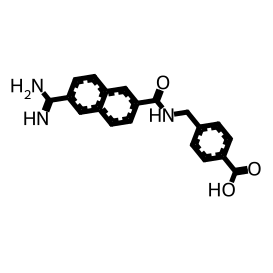 N=C(N)c1ccc2cc(C(=O)NCc3ccc(C(=O)O)cc3)ccc2c1